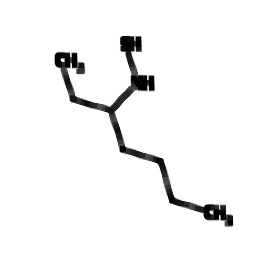 CCCCC(CC)NS